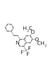 COc1cc2c(C(F)(F)F)cnc(C=Cc3ccccc3)c2cc1OC